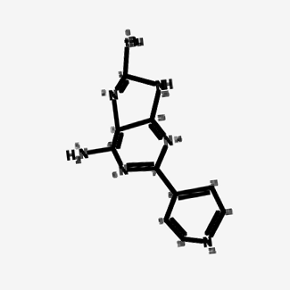 CC(C)(C)c1nc2c(N)nc(-c3ccncc3)nc2[nH]1